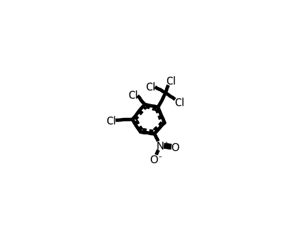 O=[N+]([O-])c1cc(Cl)c(Cl)c(C(Cl)(Cl)Cl)c1